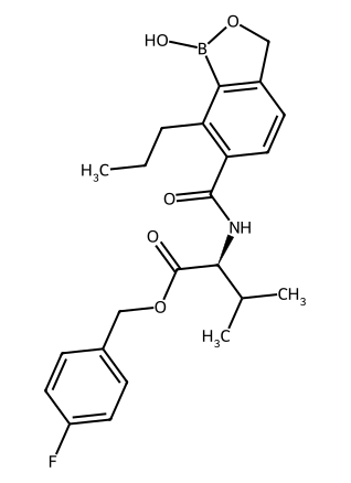 CCCc1c(C(=O)N[C@H](C(=O)OCc2ccc(F)cc2)C(C)C)ccc2c1B(O)OC2